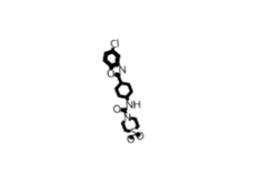 O=C(NC1CCC(c2nc3cc(Cl)ccc3o2)CC1)N1CCS(=O)(=O)CC1